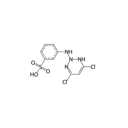 O=S(=O)(O)c1cccc(NN2N=C(Cl)C=C(Cl)N2)c1